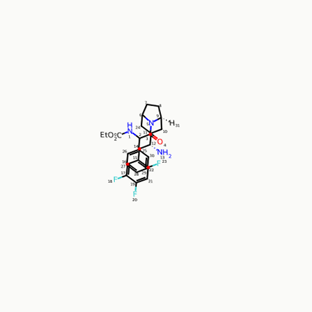 CCOC(=O)NC(C(=O)N1C2CC[C@H]1CC([C@H](N)Cc1cc(F)c(F)cc1F)C2)c1ccccc1